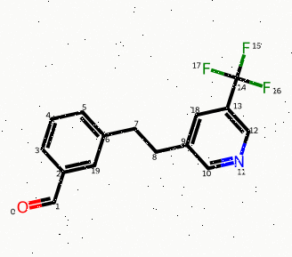 O=Cc1cccc(CCc2cncc(C(F)(F)F)c2)c1